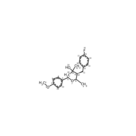 COc1ccc(COC(C)[C@H](Cc2ccc(F)cc2)C(C)(C)O)cc1